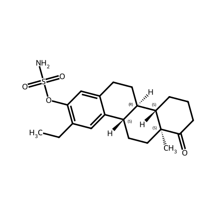 CCc1cc2c(cc1OS(N)(=O)=O)CC[C@@H]1[C@@H]2CC[C@]2(C)C(=O)CCC[C@@H]12